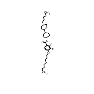 CCCCCCCCOc1ccc(C(=O)O[C@H]2CC[C@H]([C@H]3CC[C@H](CCCCC)CC3)CC2)c(F)c1F